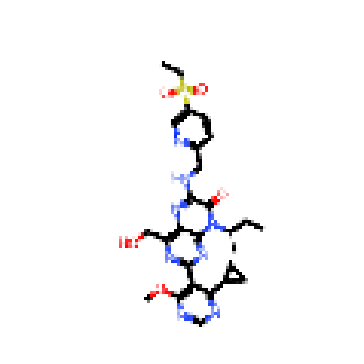 CC[C@@H](C)n1c(=O)c(NCc2ccc(S(=O)(=O)CC)cn2)nc2c(CO)nc(-c3c(OC)ncnc3C3CC3)nc21